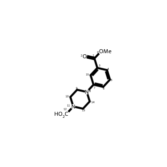 COC(=O)c1cccc(N2CCN(C(=O)O)CC2)c1